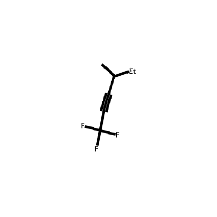 CC[C](C)C#CC(F)(F)F